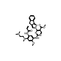 C=CC(=O)Nc1cc(Nc2ncc(C(=O)OC)c(-n3cc4c(n3)-c3ccccc3C4)n2)c(OC)cc1N(C)CCN(C)C